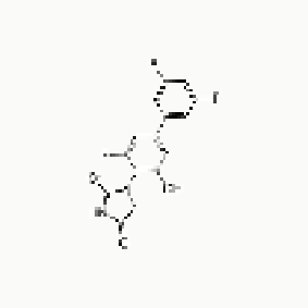 O=C1CN(c2c(O)cc(-c3cc(F)cc(F)c3)cc2F)[S+]([O-])N1